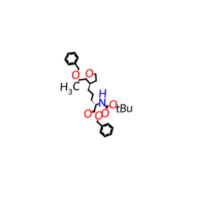 C[C@H](OCc1ccccc1)[C@@H]1OCC[C@H]1CCC[C@H](NC(=O)OC(C)(C)C)C(=O)OCc1ccccc1